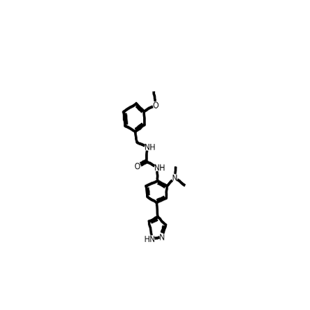 COc1cccc(CNC(=O)Nc2ccc(-c3cn[nH]c3)cc2N(C)C)c1